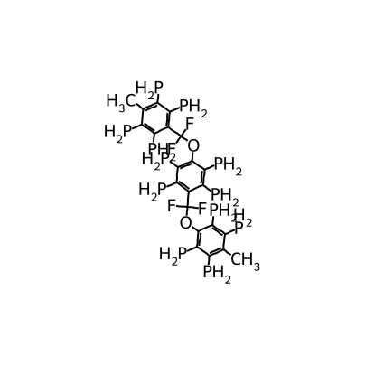 Cc1c(P)c(P)c(OC(F)(F)c2c(P)c(P)c(OC(F)(F)c3c(P)c(P)c(C)c(P)c3P)c(P)c2P)c(P)c1P